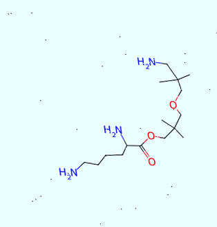 CC(C)(CN)COCC(C)(C)COC(=O)C(N)CCCCN